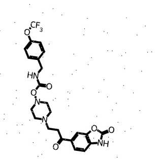 O=C(NCc1ccc(OC(F)(F)F)cc1)ON1CCN(CCC(=O)c2ccc3[nH]c(=O)oc3c2)CC1